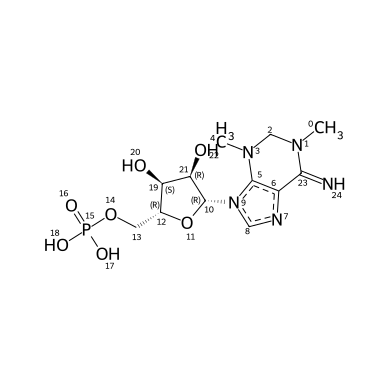 CN1CN(C)c2c(ncn2[C@@H]2O[C@H](COP(=O)(O)O)[C@@H](O)[C@H]2O)C1=N